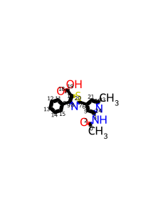 CC(=O)Nc1cc(-c2nc(-c3ccccc3)c(C(=O)O)s2)cc(C)n1